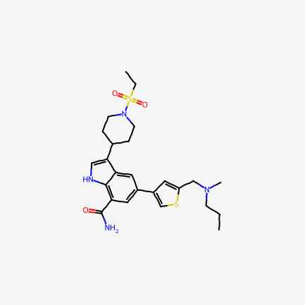 CCCN(C)Cc1cc(-c2cc(C(N)=O)c3[nH]cc(C4CCN(S(=O)(=O)CC)CC4)c3c2)cs1